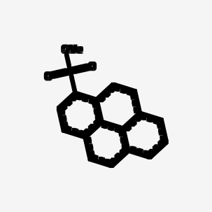 [CH2]OS(=O)(=O)c1ccc2ccc3cccc4ccc1c2c34